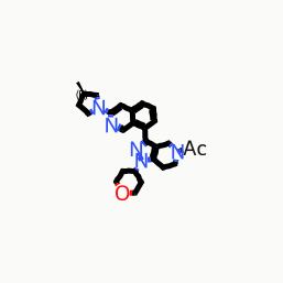 CC(=O)N1CCc2c(c(-c3cccc4cc(N5CC[C@@H](C)C5)ncc34)nn2C2CCOCC2)C1